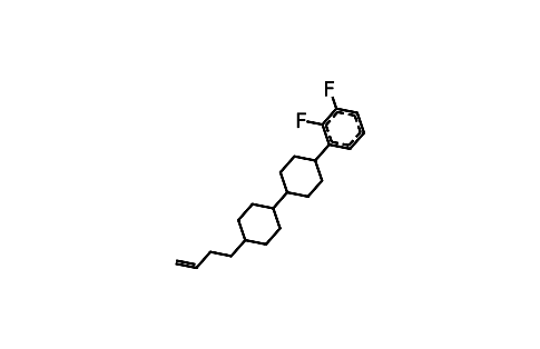 C=CCCC1CCC(C2CCC(c3cccc(F)c3F)CC2)CC1